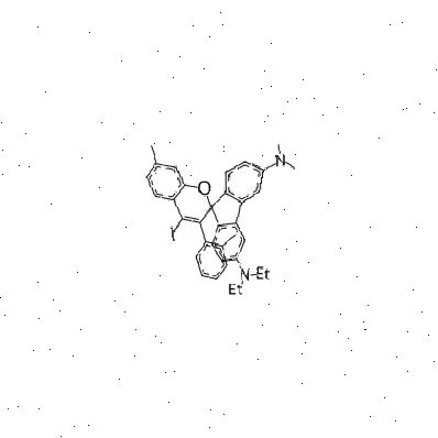 CCN(CC)c1ccc2c(c1)-c1cc(N(C)C)ccc1C21Oc2cc(C)ccc2C(I)=C1c1ccccc1C